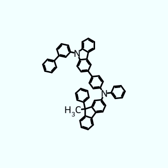 CC1(c2ccccc2)c2ccccc2-c2ccc(N(c3ccccc3)c3ccc(-c4ccc5c(c4)c4ccccc4n5-c4cccc(-c5ccccc5)c4)cc3)cc21